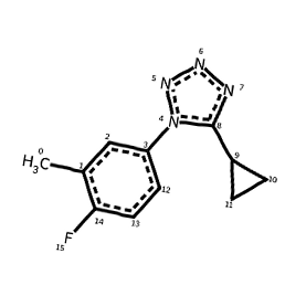 Cc1cc(-n2nnnc2C2CC2)ccc1F